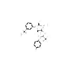 CN1C(=O)N(c2cccc(C(F)(F)F)c2)C(=O)C1=NC(Nc1ccc(Cl)cc1)C(Cl)(Cl)Cl